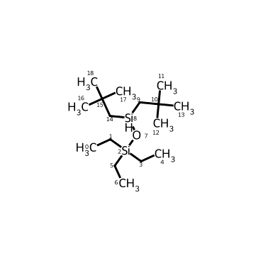 CC[Si](CC)(CC)O[SiH](CC(C)(C)C)CC(C)(C)C